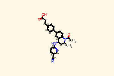 CC(=O)N1c2ccc(-c3ccc(CCC(=O)O)cc3)cc2[C@H](Nc2ccc(C#N)cn2)C[C@@H]1C